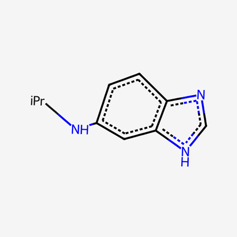 CC(C)Nc1ccc2nc[nH]c2c1